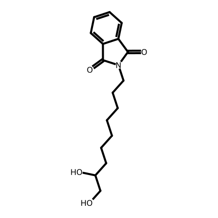 O=C1c2ccccc2C(=O)N1CCCCCCCC(O)CO